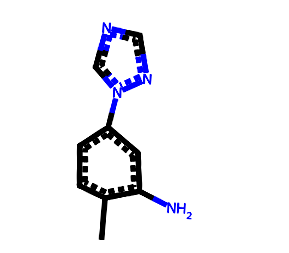 Cc1ccc(-n2cncn2)cc1N